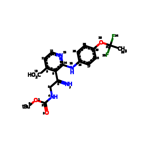 CC(C)(C)OC(=O)NCC(=N)c1c(C(=O)O)ccnc1Nc1ccc(OC(C)(F)F)cc1